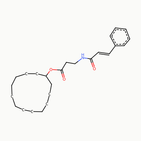 O=C(/C=C/c1ccccc1)NCCC(=O)OC1CCCCCCCCCCCC1